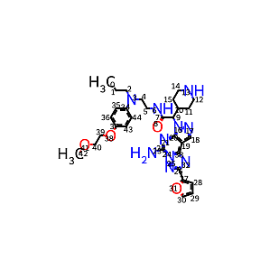 CCCN(CCNC(=O)C(C1CCNCC1)n1ncc2c1nc(N)n1nc(-c3ccco3)nc21)c1ccc(OCCOC)cc1